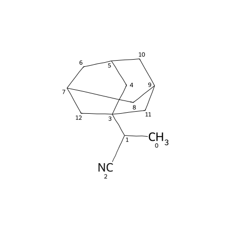 CC(C#N)C12CC3CC(CC(C3)C1)C2